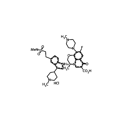 CNS(=O)(=O)CCc1ccc2[nH]cc(C3CCN(C)CC3)c2c1.C[C@H]1COc2c(N3CCN(C)CC3)c(F)cc3c(=O)c(C(=O)O)cn1c23.Cl